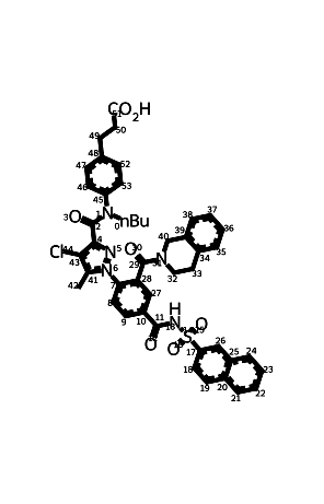 CCCCN(C(=O)c1nn(-c2ccc(C(=O)NS(=O)(=O)c3ccc4ccccc4c3)cc2C(=O)N2CCc3ccccc3C2)c(C)c1Cl)c1ccc(CCC(=O)O)cc1